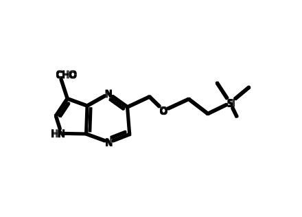 C[Si](C)(C)CCOCc1cnc2[nH]cc(C=O)c2n1